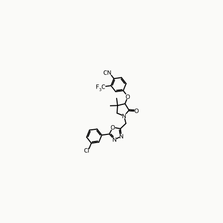 [C-]#[N+]c1ccc(OC2C(=O)N(Cc3nnc(-c4cccc(Cl)c4)o3)CC2(C)C)cc1C(F)(F)F